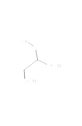 CC(C)SC(CC(=O)O)C(=O)O